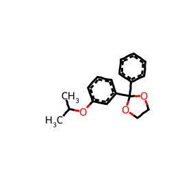 CC(C)Oc1cccc(C2(c3ccccc3)OCCO2)c1